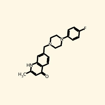 Cc1cc(=O)c2ccc(CN3CCN(c4ccc(F)cc4)CC3)cc2[nH]1